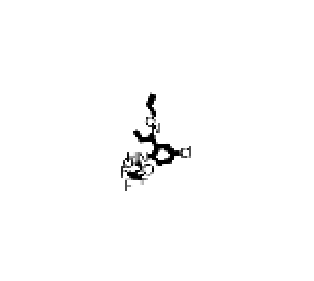 C=CCO/N=C(\CC)c1cc(Cl)ccc1NS(=O)(=O)C(F)(F)F